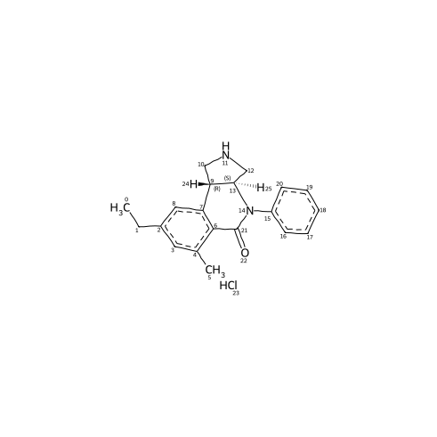 CCc1cc(C)c2c(c1)[C@@H]1CNC[C@H]1N(c1ccccc1)C2=O.Cl